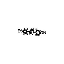 CCc1ccc(-c2cnc(C3CCC(C#N)CC3)nc2)cc1